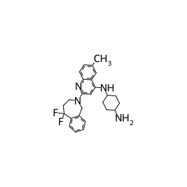 Cc1ccc2nc(N3CCC(F)(F)c4ccccc4C3)cc(NC3CCC(N)CC3)c2c1